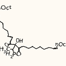 CCCCCCCC/C=C\CCCCCCCC(=O)C(O)(C(=O)CCCCCCC/C=C\CCCCCCCC)C(C)P